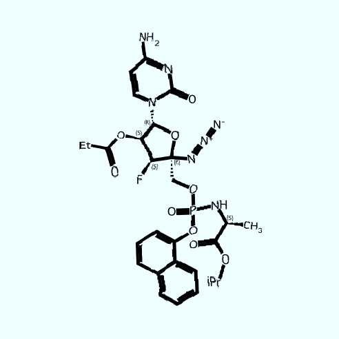 CCC(=O)O[C@H]1[C@H](n2ccc(N)nc2=O)O[C@@](COP(=O)(N[C@@H](C)C(=O)OC(C)C)Oc2cccc3ccccc23)(N=[N+]=[N-])[C@H]1F